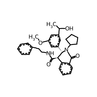 COc1cc(C(C)O)cc([C@H]2[C@H](C(=O)NCCc3ccccc3)c3ccccc3C(=O)N2C2CCCC2)c1